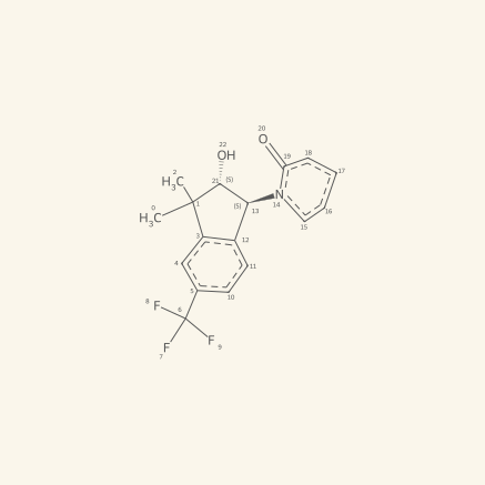 CC1(C)c2cc(C(F)(F)F)ccc2[C@H](n2ccccc2=O)[C@H]1O